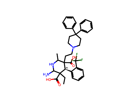 CCC1(C(=O)O)C(N)NC(C)C(CCN2CCC(c3ccccc3)(c3ccccc3)CC2)(C(=O)O)[C@H]1c1ccccc1C(F)(F)F